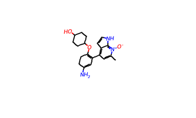 Cc1cc(C2=C(OC3CCC(O)CC3)CCC(N)=C2)c2cc[nH]c2[n+]1[O-]